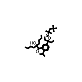 CCCCC(O)(CCCC)C(=O)c1cc(C(CC)(CC)OOC(C)(C)CC(C)(C)C)ccc1C(C)C